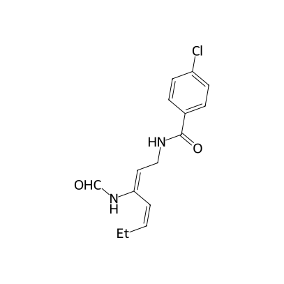 CC/C=C\C(=C/CNC(=O)c1ccc(Cl)cc1)NC=O